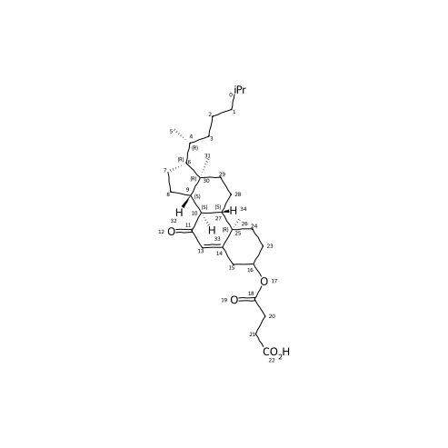 CC(C)CCC[C@@H](C)[C@H]1CC[C@H]2[C@@H]3C(=O)C=C4CC(OC(=O)CCC(=O)O)CC[C@]4(C)[C@H]3CC[C@]12C